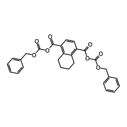 O=C(OCc1ccccc1)OC(=O)c1ccc(C(=O)OC(=O)OCc2ccccc2)c2c1CCCC2